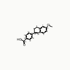 COc1ccc2c(c1)CCC(c1ccc(C(=O)O)cc1)=C2